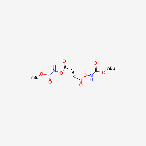 CCCCOC(=O)NOC(=O)/C=C/C(=O)ONC(=O)OCCCC